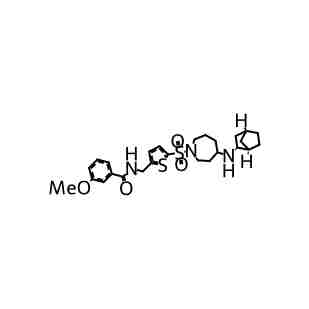 COc1cccc(C(=O)NCc2ccc(S(=O)(=O)N3CCCC(N[C@@H]4C[C@@H]5CC[C@@H]4C5)CC3)s2)c1